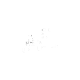 O=C(O)CC(C(=O)O)N(CC(O)CO)CC(O)CO